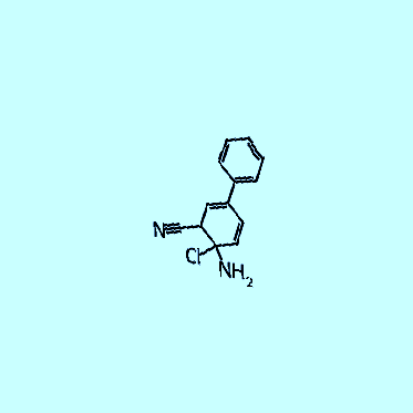 N#CC1C=C(c2ccccc2)C=CC1(N)Cl